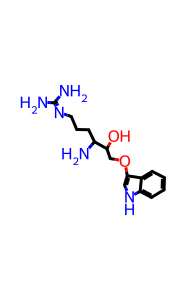 NC(N)=NCCCC(N)C(O)COc1c[nH]c2ccccc12